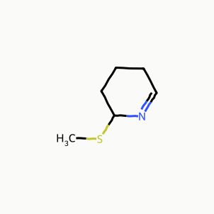 CSC1CCCC=N1